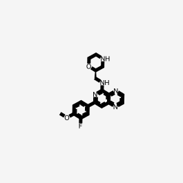 COc1ccc(-c2cc3nccnc3c(NC[C@@H]3CNCCO3)n2)cc1F